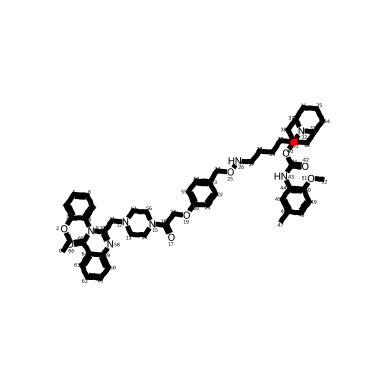 CCOc1ccccc1-n1c(CN2CCN(C(=O)COc3ccc(CONCCCCCN4C5CCCC4CC(OC(=O)Nc4cc(C)ccc4OC)C5)cc3)CC2)nc2ccccc2c1=O